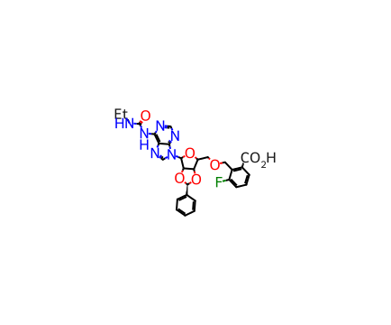 CCNC(=O)Nc1ncnc2c1ncn2C1OC(COCc2c(F)cccc2C(=O)O)C2O[C@@H](c3ccccc3)OC21